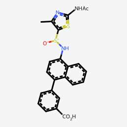 CC(=O)Nc1nc(C)c([S+]([O-])Nc2ccc(-c3cccc(C(=O)O)c3)c3ccccc23)s1